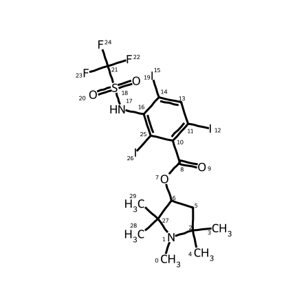 CN1C(C)(C)CC(OC(=O)c2c(I)cc(I)c(NS(=O)(=O)C(F)(F)F)c2I)C1(C)C